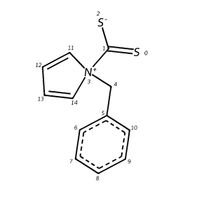 S=C([S-])[N+]1(Cc2ccccc2)C=CC=C1